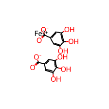 O=C([O-])c1cc(O)c(O)c(O)c1.O=C([O-])c1cc(O)c(O)c(O)c1.[Fe+2]